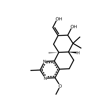 COc1nc(C)nc2c1CC[C@H]1C(C)(C)C(O)/C(=C\O)C[C@]21C